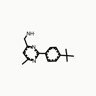 Cc1cc(C[NH])nc(-c2ccc(C(C)(C)C)cc2)n1